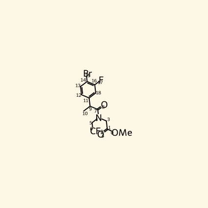 COC(=O)CN(CC(F)(F)F)C(=O)C(C)c1ccc(Br)c(F)c1